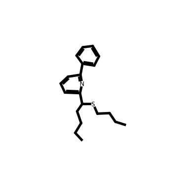 CCCCSC(CCCC)c1cccc(-c2ccccc2)n1